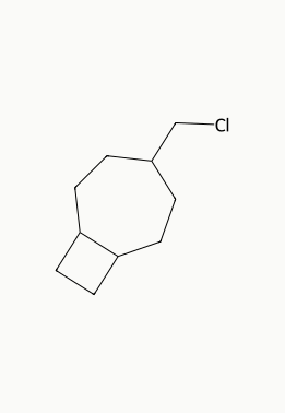 ClCC1CCC2CCC2CC1